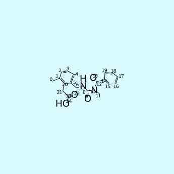 Cc1cccc(CNC(=O)N(C)C(=O)c2ccccc2)c1CC(=O)O